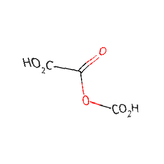 O=C(O)OC(=O)C(=O)O